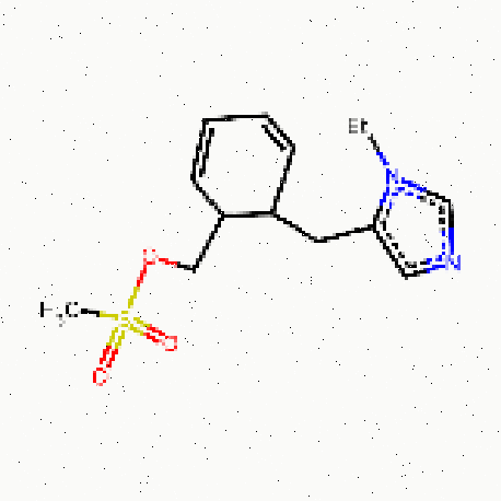 CCn1cncc1CC1C=CC=CC1COS(C)(=O)=O